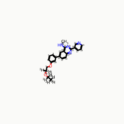 [2H]C([2H])(COc1cccc(-c2ccc3nc(-c4cccnc4)nc(NC)c3c2)c1)OC([2H])([2H])C([2H])([2H])[2H]